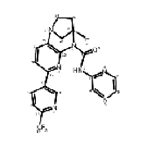 O=C(Nc1cnccn1)N1c2nc(-c3ccc(C(F)(F)F)nc3)ccc2N2CC[C@H]1C2